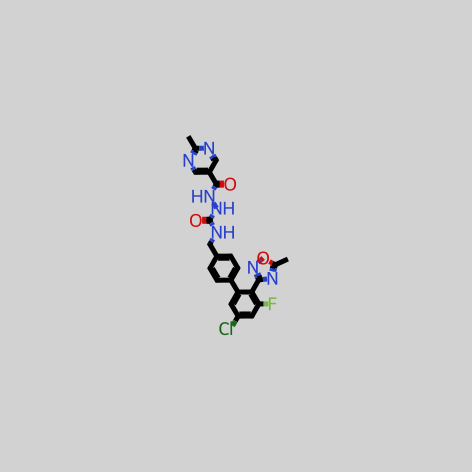 Cc1ncc(C(=O)NNC(=O)NCc2ccc(-c3cc(Cl)cc(F)c3-c3noc(C)n3)cc2)cn1